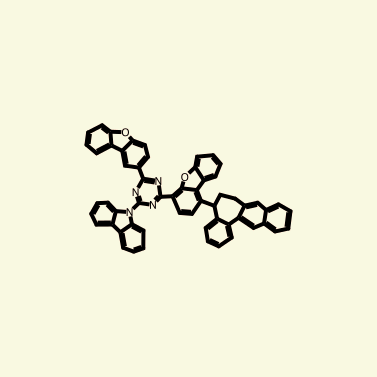 c1ccc2c(c1)-c1cc3ccccc3cc1CCC2c1ccc(-c2nc(-c3ccc4oc5ccccc5c4c3)nc(-n3c4ccccc4c4ccccc43)n2)c2oc3ccccc3c12